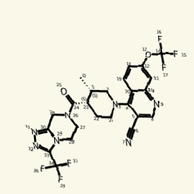 C[C@@H]1CN(c2c(C#N)cnc3cc(OC(F)(F)F)ccc23)CC[C@@H]1C(=O)N1CCn2c(nnc2C(F)(F)F)C1